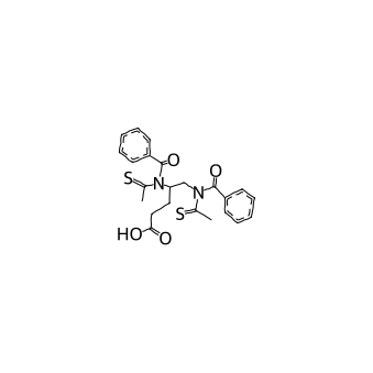 CC(=S)N(CC(CCC(=O)O)N(C(=O)c1ccccc1)C(C)=S)C(=O)c1ccccc1